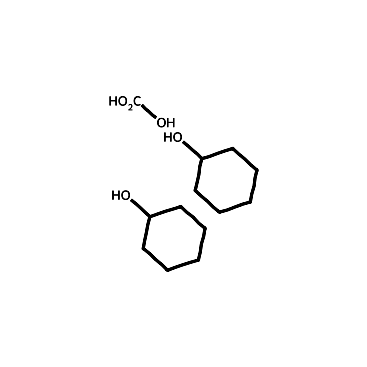 O=C(O)O.OC1CCCCC1.OC1CCCCC1